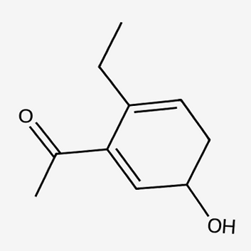 CCC1=CCC(O)C=C1C(C)=O